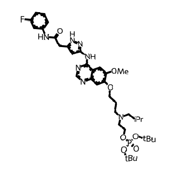 COc1cc2c(Nc3cc(CC(=O)Nc4cccc(F)c4)[nH]n3)ncnc2cc1OCCCN(CCOP(=O)(OC(C)(C)C)OC(C)(C)C)CC(C)C